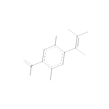 CC(C)=C(C)c1cc(C)c(C(=O)Cl)cc1C(F)(F)F